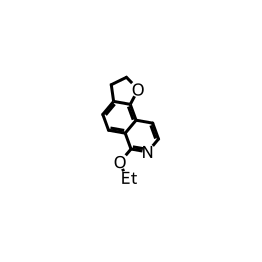 CCOc1nccc2c3c(ccc12)CCO3